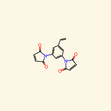 C=Cc1cc(N2C(=O)C=CC2=O)cc(N2C(=O)C=CC2=O)c1